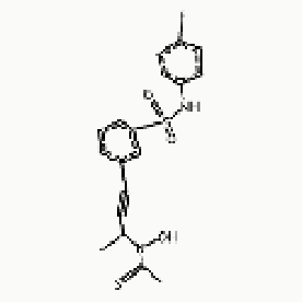 CC(=S)N(O)C(C)C#Cc1cccc(S(=O)(=O)Nc2ccc(F)cc2)c1